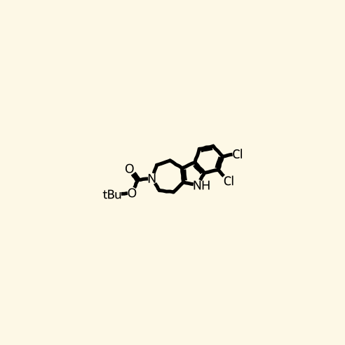 CC(C)(C)OC(=O)N1CCc2[nH]c3c(Cl)c(Cl)ccc3c2CC1